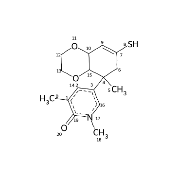 Cc1cc(C2(C)CC(S)=CC3OCCOC32)cn(C)c1=O